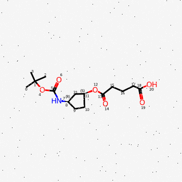 CC(C)(C)OC(=O)N[C@@H]1CC[C@H](OC(=O)CCCC(=O)O)C1